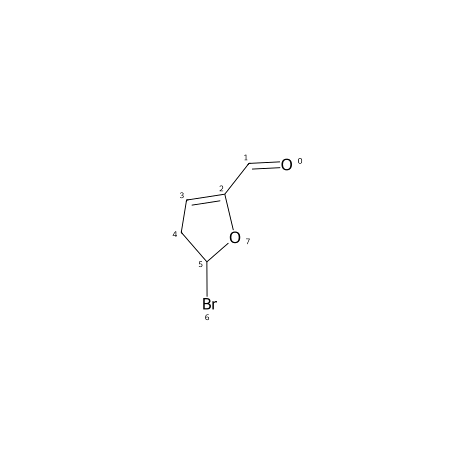 O=CC1=CCC(Br)O1